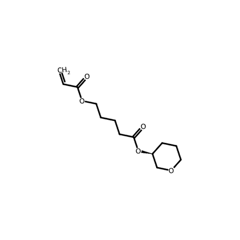 C=CC(=O)OCCCCC(=O)O[C@H]1CCCOC1